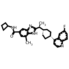 Cc1cc(C(=O)NC2CCC2)cc2nc([C@@H](C)[C@H]3CC[C@@H](c4ccnc5ccc(F)cc54)CC3)[nH]c12